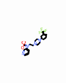 O=c1oc2ncccc2n1CCN1CCN(c2cccc(C(F)(F)F)c2)CC1